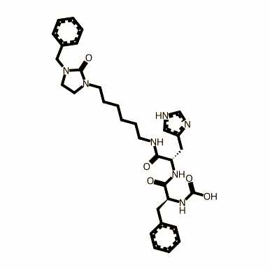 O=C(O)N[C@@H](Cc1ccccc1)C(=O)N[C@@H](Cc1c[nH]cn1)C(=O)NCCCCCCN1CCN(Cc2ccccc2)C1=O